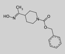 CC(=NO)C1CCN(C(=O)OCc2ccccc2)CC1